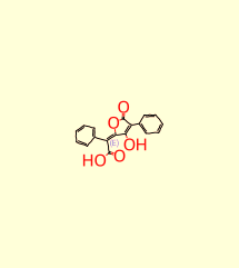 O=C1O/C(=C(/C(=O)O)c2ccccc2)C(O)=C1c1ccccc1